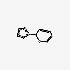 C1=COC(n2cccn2)C=C1